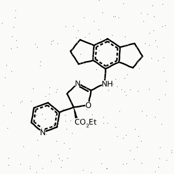 CCOC(=O)[C@@]1(c2cccnc2)CN=C(Nc2c3c(cc4c2CCC4)CCC3)O1